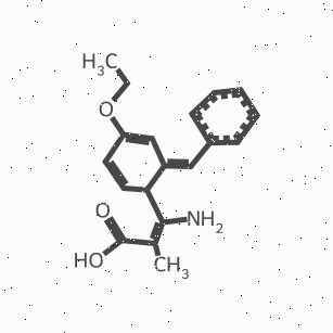 CCOC1=CC(=Cc2ccccc2)C(C(N)=C(C)C(=O)O)C=C1